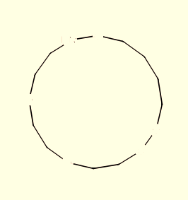 C1CCOOCCOCCOCCNOC1